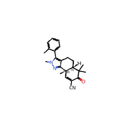 Cc1ccccc1-c1c2c(nn1C)[C@@]1(C)C=C(C#N)C(=O)C(C)(C)[C@H]1CC2